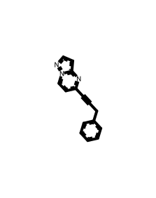 C(#Cc1ccn2nccc2n1)Cc1ccccc1